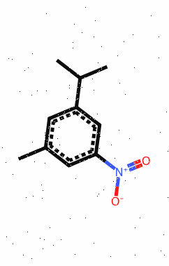 Cc1cc(C(C)C)cc([N+](=O)[O-])c1